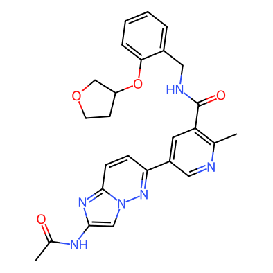 CC(=O)Nc1cn2nc(-c3cnc(C)c(C(=O)NCc4ccccc4OC4CCOC4)c3)ccc2n1